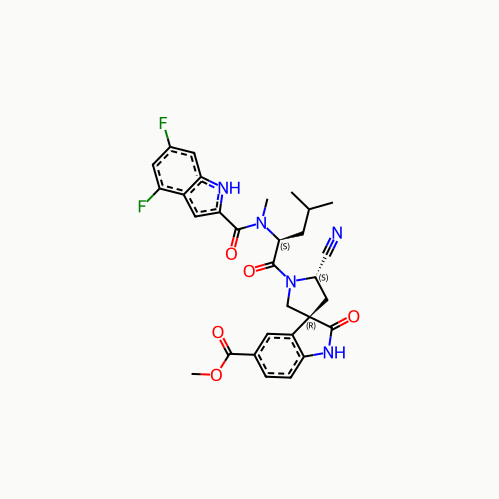 COC(=O)c1ccc2c(c1)[C@@]1(C[C@@H](C#N)N(C(=O)[C@H](CC(C)C)N(C)C(=O)c3cc4c(F)cc(F)cc4[nH]3)C1)C(=O)N2